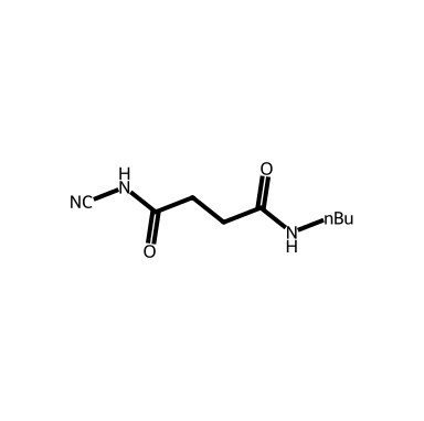 CCCCNC(=O)CCC(=O)NC#N